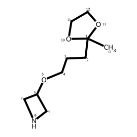 CC1(CCCOC2CNC2)OCCO1